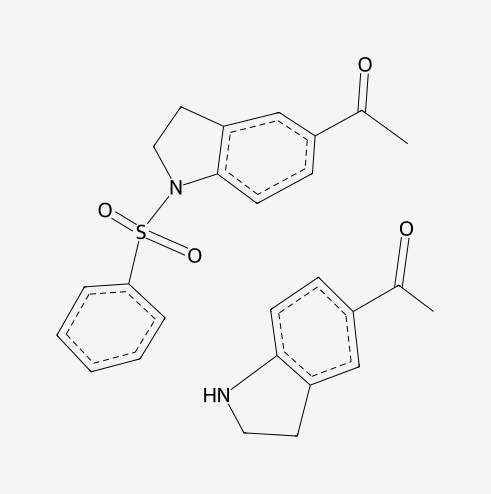 CC(=O)c1ccc2c(c1)CCN2.CC(=O)c1ccc2c(c1)CCN2S(=O)(=O)c1ccccc1